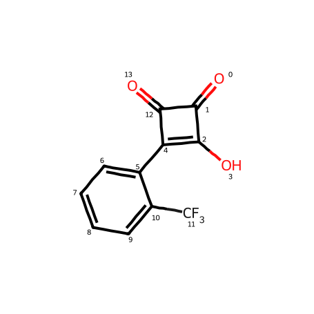 O=c1c(O)c(-c2ccccc2C(F)(F)F)c1=O